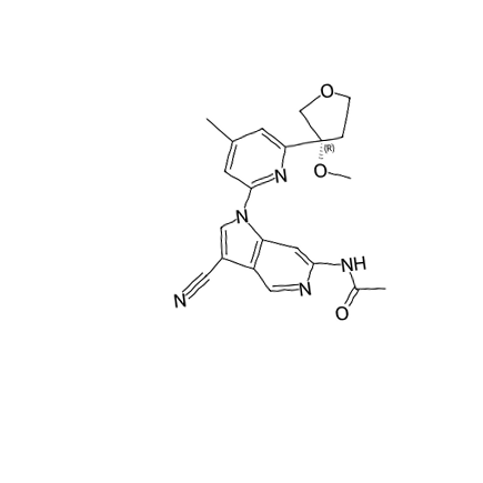 CO[C@@]1(c2cc(C)cc(-n3cc(C#N)c4cnc(NC(C)=O)cc43)n2)CCOC1